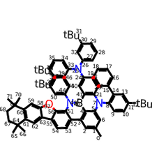 Cc1cc2c3c(c1)N(c1ccc(C(C)(C)C)cc1-c1ccccc1)c1ccc(N(c4cccc(C(C)(C)C)c4)c4cccc(C(C)(C)C)c4)cc1B3N(c1ccc(C(C)(C)C)cc1)c1c-2ccc2c1oc1cc3c(cc12)C(C)(C)CCC3(C)C